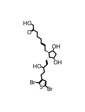 O=C(CO)CCCC=CC[C@@H]1[C@@H](C=CC(O)CCc2cc(Br)sc2Br)[C@H](O)C[C@@H]1O